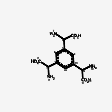 NC(C(=O)O)c1cc(C(N)C(=O)O)cc(C(N)C(=O)O)c1